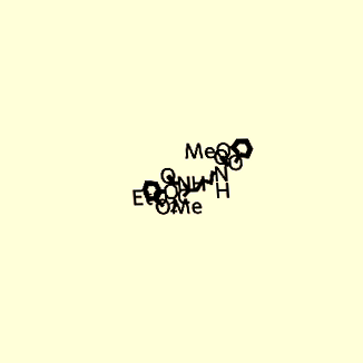 CCOC(=O)C(CCCCNC(=O)Oc1ccccc1OC)NC(=O)Oc1ccccc1OC